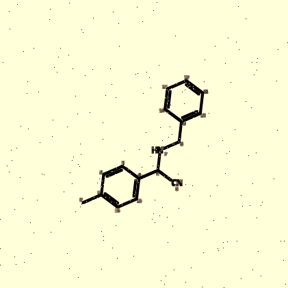 Cc1ccc(C(C#N)NCc2ccccc2)cc1